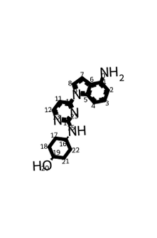 Nc1cccc2c1ccn2-c1ccnc(N[C@H]2CC[C@H](O)CC2)n1